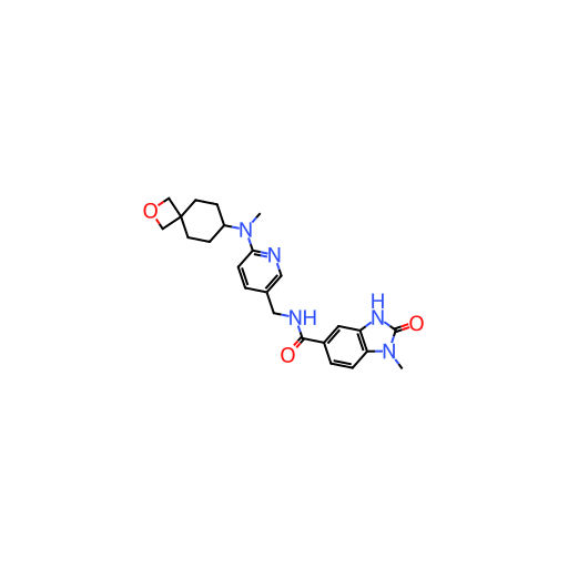 CN(c1ccc(CNC(=O)c2ccc3c(c2)[nH]c(=O)n3C)cn1)C1CCC2(CC1)COC2